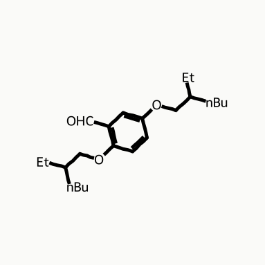 CCCCC(CC)COc1ccc(OCC(CC)CCCC)c(C=O)c1